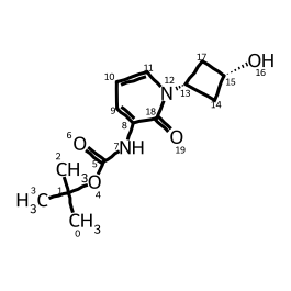 CC(C)(C)OC(=O)Nc1cccn([C@H]2C[C@@H](O)C2)c1=O